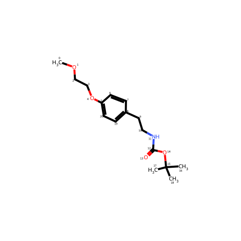 COCCOc1ccc(CCNC(=O)OC(C)(C)C)cc1